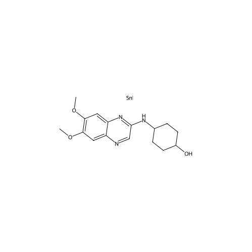 COc1cc2ncc(NC3CCC(O)CC3)nc2cc1OC.[Sn]